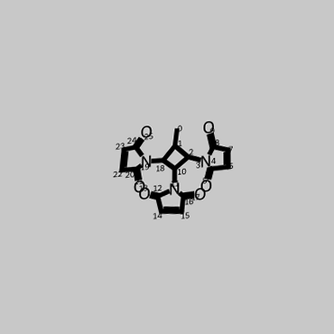 CC1C(N2C(=O)C=CC2=O)C(N2C(=O)C=CC2=O)C1N1C(=O)C=CC1=O